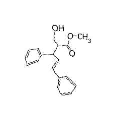 COC(=O)C(CO)C(C=Cc1ccccc1)c1ccccc1